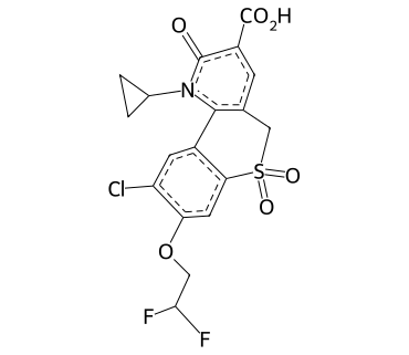 O=C(O)c1cc2c(n(C3CC3)c1=O)-c1cc(Cl)c(OCC(F)F)cc1S(=O)(=O)C2